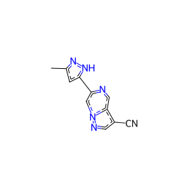 Cc1cc(-c2cn3ncc(C#N)c3cn2)[nH]n1